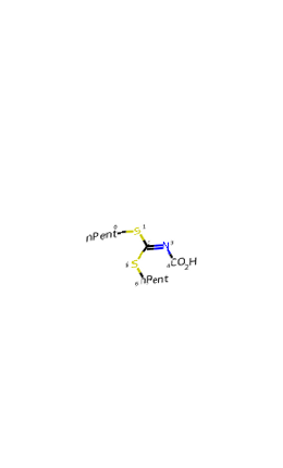 CCCCCSC(=NC(=O)O)SCCCCC